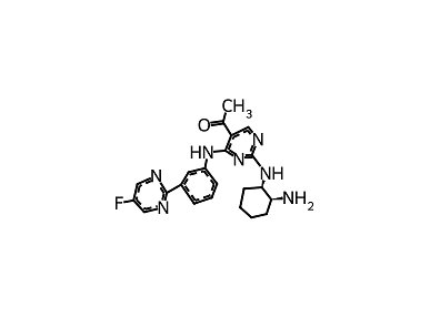 CC(=O)c1cnc(N[C@@H]2CCCC[C@@H]2N)nc1Nc1cccc(-c2ncc(F)cn2)c1